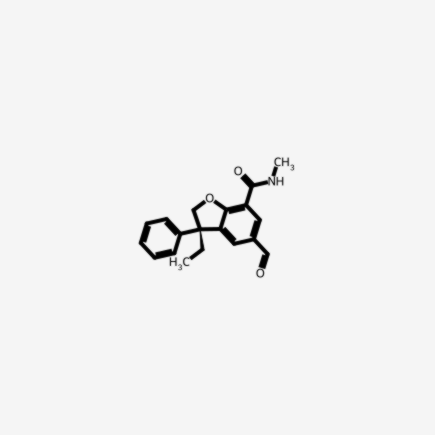 CC[C@@]1(c2ccccc2)COc2c(C(=O)NC)cc(C=O)cc21